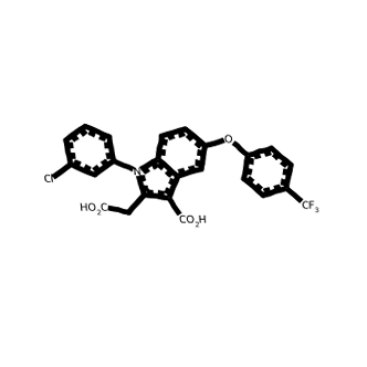 O=C(O)Cc1c(C(=O)O)c2cc(Oc3ccc(C(F)(F)F)cc3)ccc2n1-c1cccc(Cl)c1